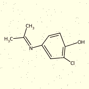 CC(C)=Nc1ccc(O)c(Cl)c1